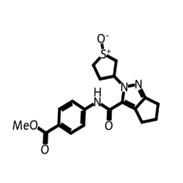 COC(=O)c1ccc(NC(=O)c2c3c(nn2C2CC[S+]([O-])C2)CCC3)cc1